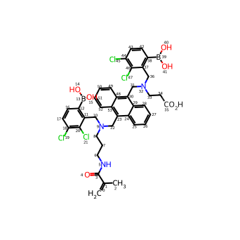 C=C(C)C(=O)NCCCN(Cc1c(B(O)O)ccc(Cl)c1Cl)Cc1c2ccccc2c(CN(CCC(=O)O)Cc2c(B(O)O)ccc(Cl)c2Cl)c2ccccc12